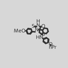 CCCOc1ccc(NC(=O)CC2(C3CCCCC3)C(=O)NC(=S)N2Cc2ccc(OC)cc2)cc1